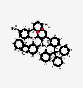 Cc1cc2c3c(c1)N(c1ccc(C(C)(C)C)cc1-c1ccccc1)c1c(ccc4oc5ccccc5c14)B3N1c3ccccc3C(c3ccccc3)(c3ccccc3)c3cccc-2c31